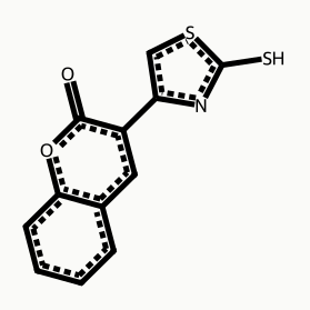 O=c1oc2ccccc2cc1-c1csc(S)n1